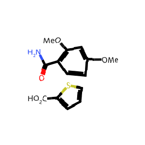 COc1ccc(C(N)=O)c(OC)c1.O=C(O)c1cccs1